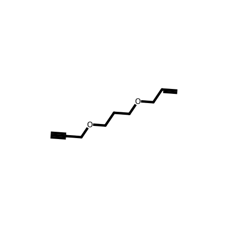 C#CCOCCCOCC=C